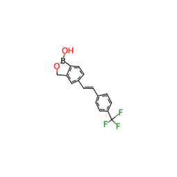 OB1OCc2cc(/C=C/c3ccc(C(F)(F)F)cc3)ccc21